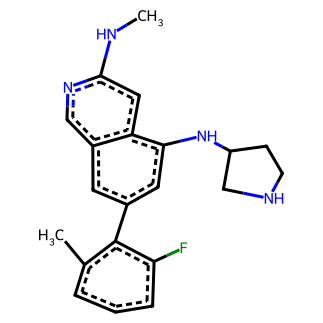 CNc1cc2c(NC3CCNC3)cc(-c3c(C)cccc3F)cc2cn1